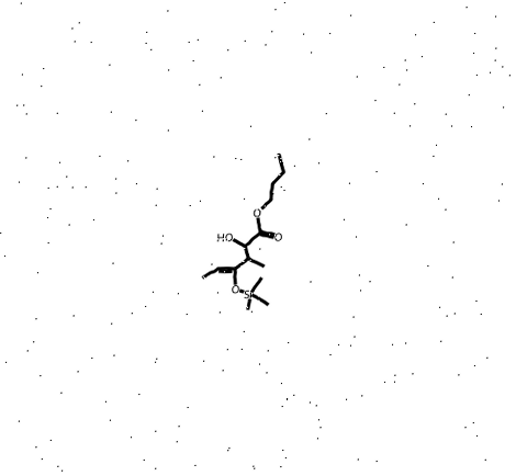 C/C=C(\O[Si](C)(C)C)C(C)C(O)C(=O)OCCCC